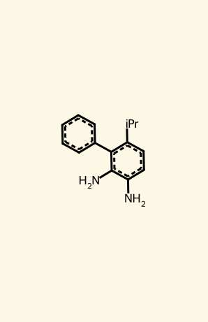 CC(C)c1ccc(N)c(N)c1-c1ccccc1